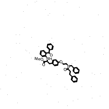 COC(=O)C(Cc1ccc(OCCN(Cc2ccccc2)C(=O)CCc2ccccc2)cc1)Nc1ccccc1C(=O)c1ccccc1